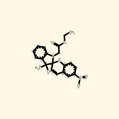 CCOC(=O)CN1c2ccccc2C(C)(C)C12C=Cc1cc([N+](=O)[O-])ccc1O2